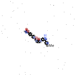 COc1ccc(-c2n[nH]c3ccc(N4CC[C@]5(CCN(CC(=O)N6CC=C(c7ccc(-c8nn(C)c(=O)o8)cc7)CC6)C5)C4=O)cc23)cn1